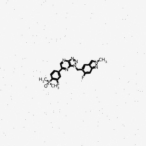 Cn1cc2cc(Cn3nnc4ncc(-c5ccc(P(C)(C)=O)c(F)c5)nc43)c(F)cc2n1